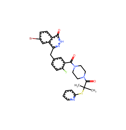 CC(C)(Sc1ccccn1)C(=O)N1CCN(C(=O)c2cc(Cc3n[nH]c(=O)c4ccc(Br)cc34)ccc2F)CC1